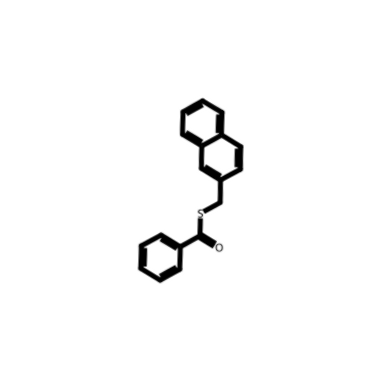 O=C(SCc1ccc2ccccc2c1)c1ccccc1